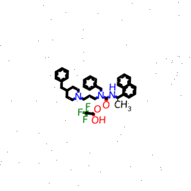 C[C@H](NC(=O)N(CCCN1CCC(Cc2ccccc2)CC1)Cc1ccccc1)c1cccc2ccccc12.O=C(O)C(F)(F)F